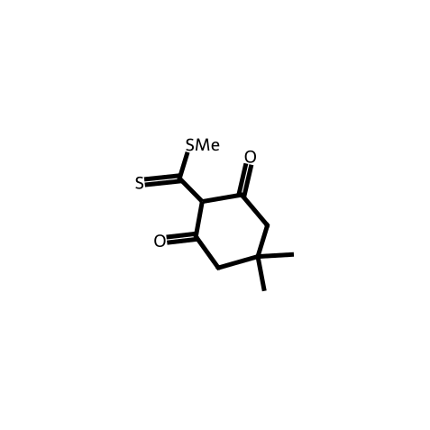 CSC(=S)C1C(=O)CC(C)(C)CC1=O